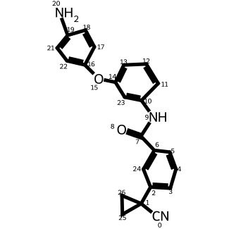 N#CC1(c2cccc(C(=O)Nc3cccc(Oc4ccc(N)cc4)c3)c2)CC1